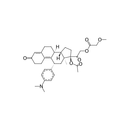 COCC(=O)OCC(=O)[C@@]1(OC(C)=O)CC[C@H]2[C@@H]3CCC4=CC(=O)CCC4=C3[C@@H](c3ccc(N(C)C)cc3)C[C@@]21C